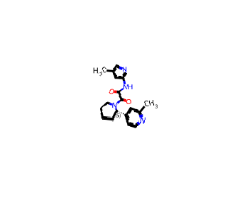 Cc1cncc(NC(=O)C(=O)N2CCCC[C@H]2c2ccnc(C)c2)c1